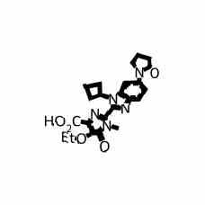 CCOc1c(C(=O)O)nc(-c2nc3ccc(N4CCCC4=O)cc3n2C2CCC2)n(C)c1=O